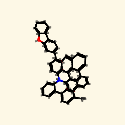 CC(C)(C)c1ccc(-c2ccccc2N(c2ccc(-c3ccc4c(c3)oc3ccccc34)cc2)c2ccccc2C2=c3c(-c4ccccc4)cccc3=CCC2)cc1